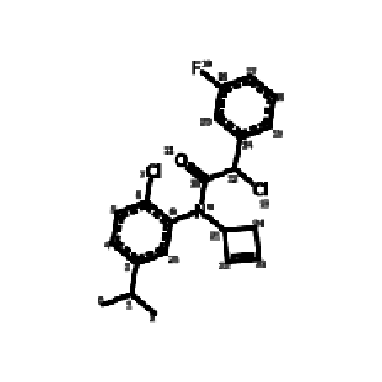 CC(C)c1ccc(Cl)c(N(C(=O)C(Cl)c2cccc(F)c2)C2C=CC2)c1